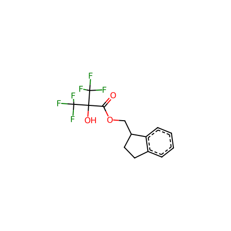 O=C(OCC1CCc2ccccc21)C(O)(C(F)(F)F)C(F)(F)F